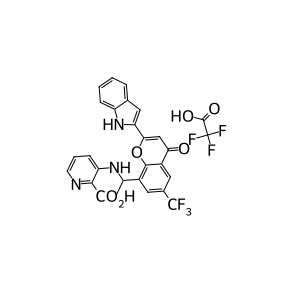 CC(Nc1cccnc1C(=O)O)c1cc(C(F)(F)F)cc2c(=O)cc(-c3cc4ccccc4[nH]3)oc12.O=C(O)C(F)(F)F